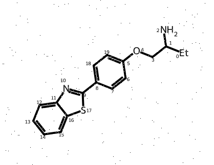 CCC(N)COc1ccc(-c2nc3ccccc3s2)cc1